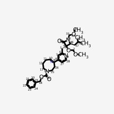 COCO[C@@]1(Cc2cc(/C3=C/CCCN(C(=O)OCc4ccccc4)CC3)ccn2)C(=O)N(COC)[C@H]1CC(C)C